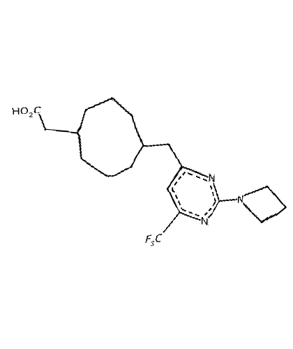 O=C(O)CC1CCCC(Cc2cc(C(F)(F)F)nc(N3CCC3)n2)CCC1